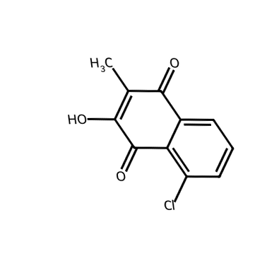 CC1=C(O)C(=O)c2c(Cl)cccc2C1=O